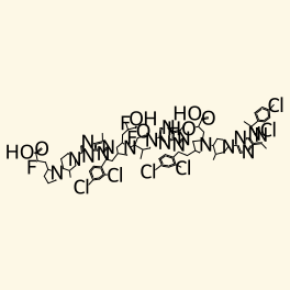 Cc1nn(C(C)c2ccc(Cl)cc2Cl)c2nc(N3CCC(N4CC(CC(c5ccc(Cl)cc5Cl)n5nc(C)c6ncc(N7CCC(N8CC(CC(c9ccc(Cl)cc9Cl)n9nc(C)c%10ncc(N%11CCC(N%12CCCC%12CC(F)C(=O)O)C(C)C%11)nc%109)CC8CC(F)(F)C(=O)O)C(C)C7)nc65)CC4CC(O)C(=O)O)C(C)C3)cnc12